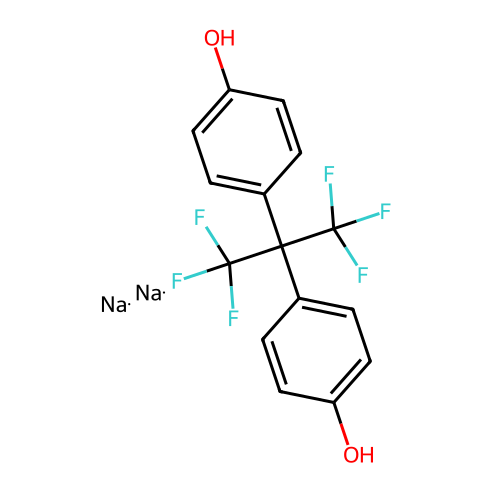 Oc1ccc(C(c2ccc(O)cc2)(C(F)(F)F)C(F)(F)F)cc1.[Na].[Na]